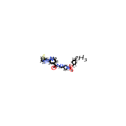 Cc1ccc(COC(=O)N2CCC(CNC(=O)c3ccnc(NCc4cccs4)c3)CC2)cc1